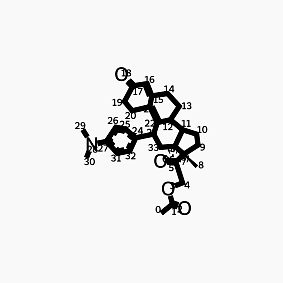 CC(=O)OCC(=O)[C@@]1(C)CCC2C3CCC4=CC(=O)CCC4=C3C(c3ccc(N(C)C)cc3)C[C@@]21C